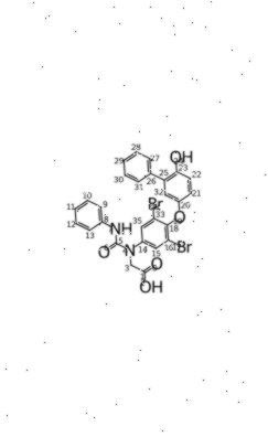 O=C(O)CN(C(=O)Nc1ccccc1)c1cc(Br)c(Oc2ccc(O)c(-c3ccccc3)c2)c(Br)c1